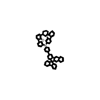 c1ccc2c(c1)-c1ccccc1C2(c1ccc(-c2ccc(N(c3ccc4c(c3)sc3ccccc34)c3cccc4c3oc3c(C5CCCCC5)cccc34)cc2)cc1)c1ccc2ccccc2c1